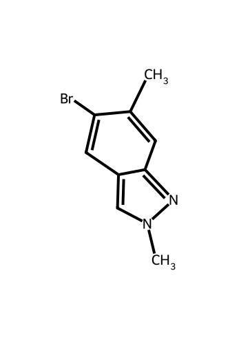 Cc1cc2nn(C)cc2cc1Br